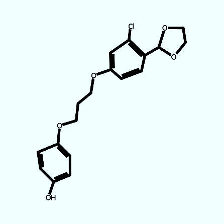 Oc1ccc(OCCCOc2ccc(C3OCCO3)c(Cl)c2)cc1